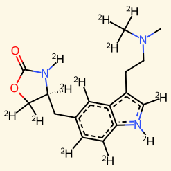 [2H]c1c(C[C@]2([2H])N([2H])C(=O)OC2([2H])[2H])c([2H])c2c(CCN(C)C([2H])([2H])[2H])c([2H])n([2H])c2c1[2H]